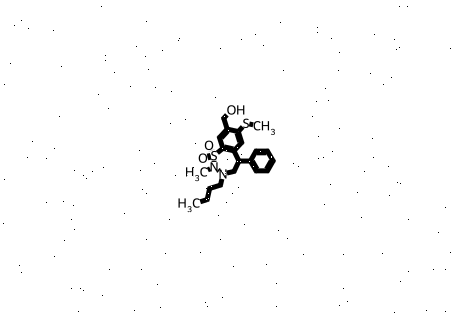 CCCCN1CC(c2ccccc2)c2cc(SC)c(CO)cc2S(=O)(=O)N1C